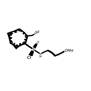 COCCNS(=O)(=O)c1ccccc1O